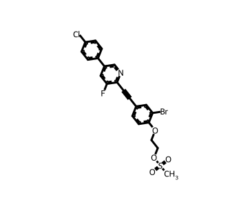 CS(=O)(=O)OCCOc1ccc(C#Cc2ncc(-c3ccc(Cl)cc3)cc2F)cc1Br